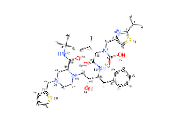 CC(C)c1nc(CN(C(=O)O)[C@H](C(=O)N[C@@H](Cc2ccccc2)[C@H](O)CN2CCN(Cc3cccs3)C[C@H]2C(=O)NC(C)(C)C)C(C)C)cs1